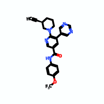 C#C[C@H]1CCCN(c2ncc(C(=O)Nc3ccc(OC(F)(F)F)cc3)cc2-c2cncnc2)C1